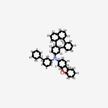 c1ccc(-c2cccc(N(c3ccc4c(c3)-c3ccccc3-c3cccc5cccc-4c35)c3ccc4c(c3)oc3ccccc34)c2)cc1